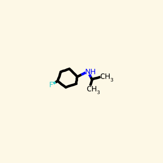 CC(C)NC1CCC(F)CC1